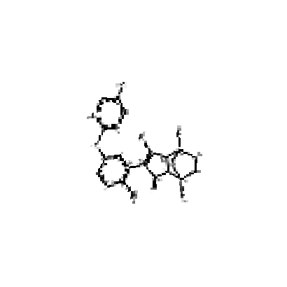 CCc1ccc(Oc2ncc(Cl)cn2)cc1C1=C(O)C2C(C1=O)[C@H]1CC[C@@H]2CC1